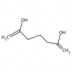 C=C(O)CCCC(=C)O